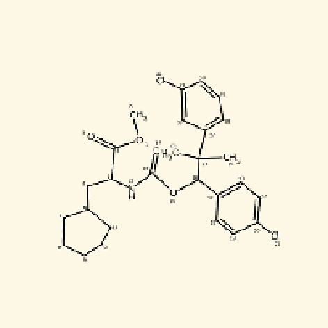 COC(=O)C(CC1CCCCC1)NC(=O)OC(c1ccc(Cl)cc1)C(C)(C)c1cccc(Cl)c1